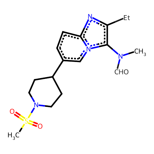 CCc1nc2ccc(C3CCN(S(C)(=O)=O)CC3)cn2c1N(C)C=O